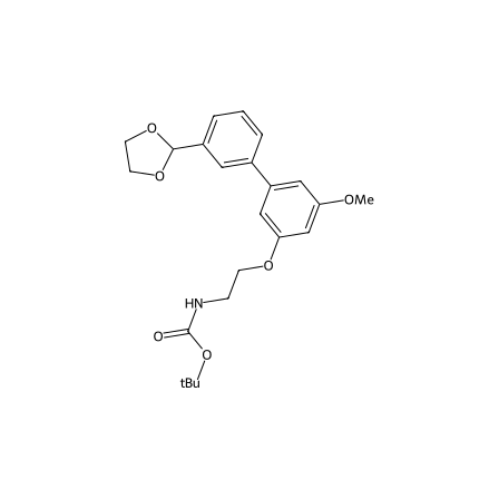 COc1cc(OCCNC(=O)OC(C)(C)C)cc(-c2cccc(C3OCCO3)c2)c1